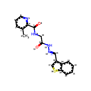 Cc1cccnc1C(=O)NCC(=O)N/N=C/c1csc2ccccc12